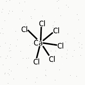 [Cl][Ca]([Cl])([Cl])([Cl])([Cl])[Cl]